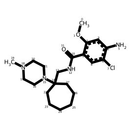 COc1cc(N)c(Cl)cc1C(=O)NCC1(N2CCN(C)CC2)CCCCCC1